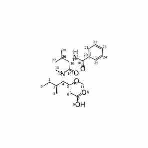 CC[C@H](C)[C@@H]([C@@H](CC(=O)O)OC)N(C)C(=O)[C@@H](NC(=O)c1ccccc1)C(C)C